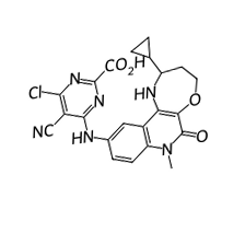 Cn1c(=O)c2c(c3cc(Nc4nc(C(=O)O)nc(Cl)c4C#N)ccc31)NC(C1CC1)CCO2